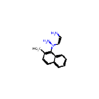 N/C=C\N(N)c1c(C(=O)O)ccc2ccccc12